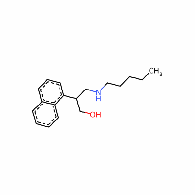 CCCCCNCC(CO)c1cccc2ccccc12